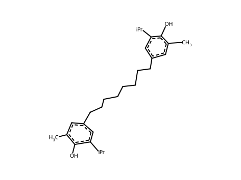 Cc1cc(CCCCCCCCc2cc(C)c(O)c(C(C)C)c2)cc(C(C)C)c1O